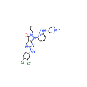 C=CCn1c(=O)c2cnc(Nc3ccc(Cl)c(Cl)c3)nc2n1-c1cccc(NC2CCN(C)CC2)n1